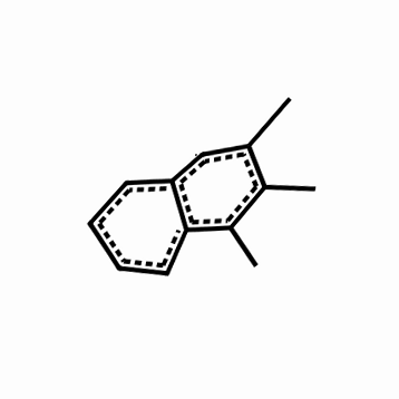 Cc1[c]c2ccccc2c(C)c1C